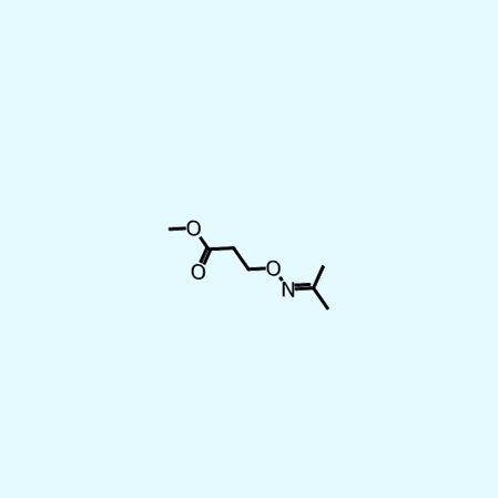 COC(=O)CCON=C(C)C